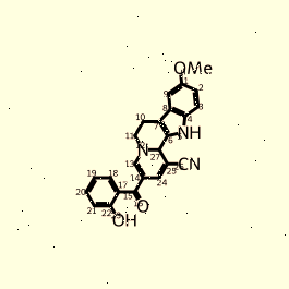 COc1ccc2[nH]c3c(c2c1)CCN1C=C(C(=O)c2ccccc2O)C=C(C#N)C31